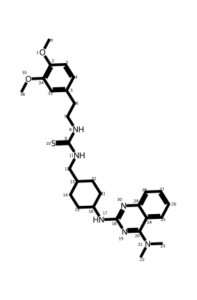 COc1ccc(CCNC(=S)NCC2CCC(Nc3nc(N(C)C)c4ccccc4n3)CC2)cc1OC